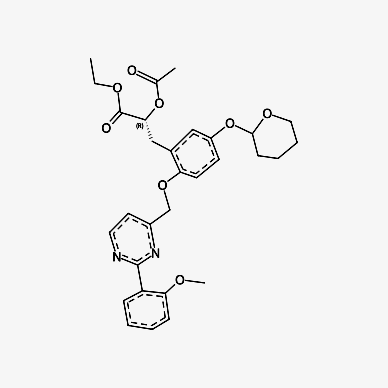 CCOC(=O)[C@@H](Cc1cc(OC2CCCCO2)ccc1OCc1ccnc(-c2ccccc2OC)n1)OC(C)=O